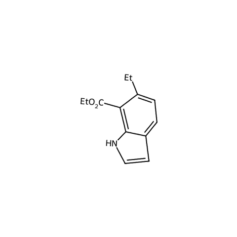 CCOC(=O)c1c(CC)ccc2cc[nH]c12